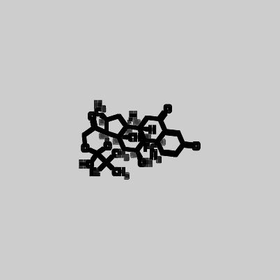 CCC(C)(C)C1(O)OCC(=O)[C@@]2(O1)[C@@H](C)C[C@H]1[C@@H]3CC(=O)C4=CC(=O)C=C[C@]4(C)[C@@]3(F)[C@@H](O)C[C@@]12C